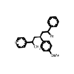 CCC(CC(CC(C)c1ccncc1)c1ccc(OC)cc1)c1ccccc1